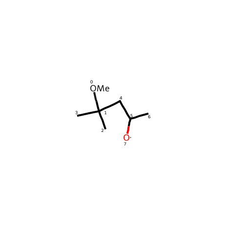 COC(C)(C)CC(C)[O]